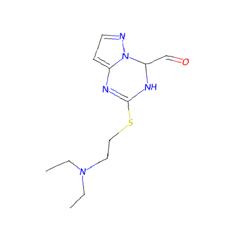 CCN(CC)CCSC1=Nc2ccnn2C(C=O)N1